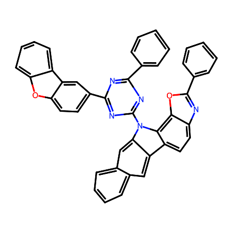 c1ccc(-c2nc(-c3ccc4oc5ccccc5c4c3)nc(-n3c4cc5ccccc5cc4c4ccc5nc(-c6ccccc6)oc5c43)n2)cc1